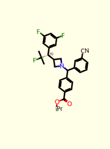 CC(C)OC(=O)c1ccc(C(c2cccc(C#N)c2)N2CC([C@@H](c3cc(F)cc(F)c3)C(C)(C)F)C2)cc1